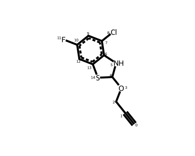 C#CCOC1Nc2c(Cl)cc(F)cc2S1